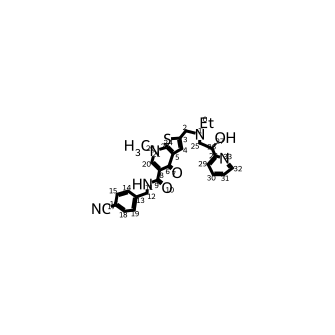 CCN(Cc1cc2c(=O)c(C(=O)NCc3ccc(C#N)cc3)cn(C)c2s1)C[C@@H](O)c1ccccn1